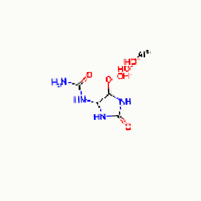 NC(=O)NC1NC(=O)NC1=O.[Al+3].[OH-].[OH-].[OH-]